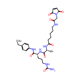 CC(=O)OCc1ccc(NC(=O)[C@H](CCCNC(N)=O)NC(=O)[C@@H](NC(=O)CCCCCNC(=O)CN2C(=O)C=CC2=O)C(C)C)cc1